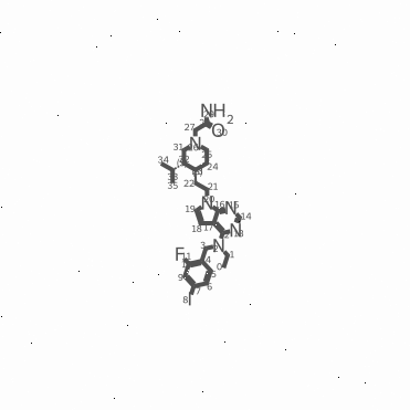 CCN(Cc1ccc(I)cc1F)c1ncnc2c1ccn2CC[C@@H]1CCN(CC(N)=O)C[C@H]1C(C)C